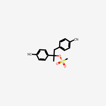 CC(Cc1ccc(C#N)cc1)(OS(C)(=O)=O)c1ccc(C#N)cc1